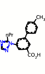 CCCc1ncnn1-c1cc(C(=O)O)cc(-c2ccc(C)cc2)c1